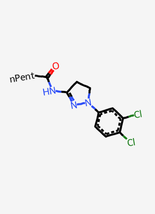 CCCCCC(=O)NC1=NN(c2ccc(Cl)c(Cl)c2)CC1